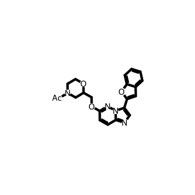 CC(=O)N1CCOC(COc2ccc3ncc(-c4cc5ccccc5o4)n3n2)C1